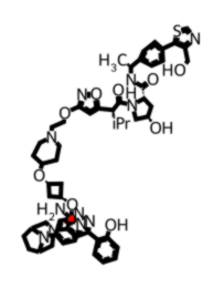 CC(C)[C@H](C(=O)N1C[C@H](O)C[C@H]1C(=O)N[C@@H](C)c1ccc(-c2scnc2CO)cc1)c1cc(OCCN2CCC(O[C@H]3C[C@H](Oc4cc(N5C6CCC5CN(c5cc(-c7ccccc7O)nnc5N)C6)ccn4)C3)CC2)no1